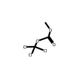 COC(=O)OC(Cl)(Cl)Cl